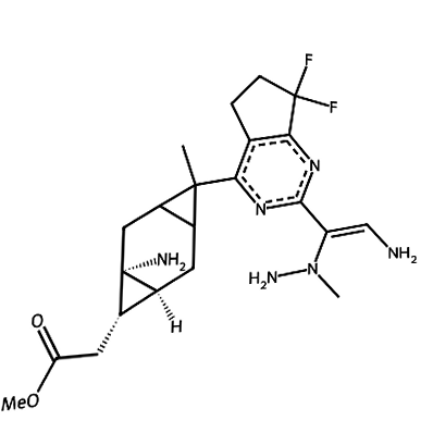 COC(=O)C[C@H]1[C@@H]2CC3C(C[C@]12N)C3(C)c1nc(/C(=C/N)N(C)N)nc2c1CCC2(F)F